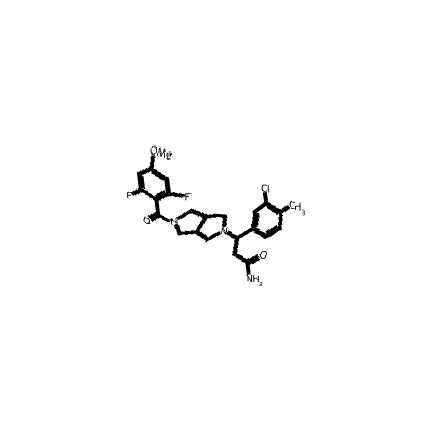 COc1cc(F)c(C(=O)N2CC3CN(C(CC(N)=O)c4ccc(C)c(Cl)c4)CC3C2)c(F)c1